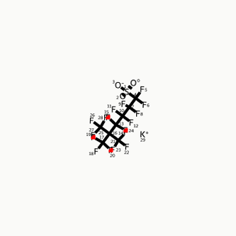 O=S(=O)([O-])C(F)(F)C(F)(F)C(F)(F)C(F)(F)C(C(F)(F)F)(C(F)(F)F)C(F)(F)F.[K+]